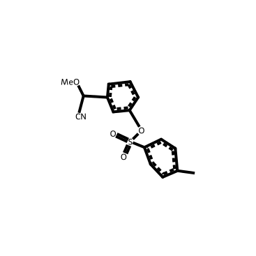 COC(C#N)c1cccc(OS(=O)(=O)c2ccc(C)cc2)c1